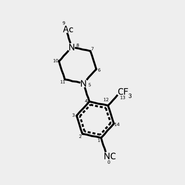 [C-]#[N+]c1ccc(N2CCN(C(C)=O)CC2)c(C(F)(F)F)c1